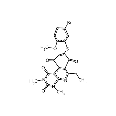 CCc1nc2c(c3c1C(=O)C(Sc1cc(Br)ccc1OC)=CC3=O)c(=O)n(C)c(=O)n2C